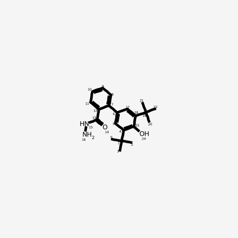 CC(C)(C)c1cc(-c2ccccc2C(=O)NN)cc(C(C)(C)C)c1O